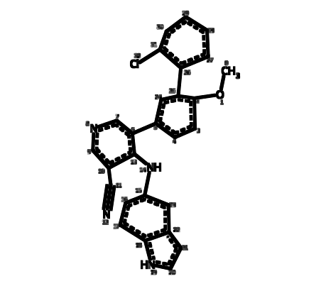 COc1ccc(-c2cncc(C#N)c2Nc2ccc3[nH]ccc3c2)cc1-c1ccccc1Cl